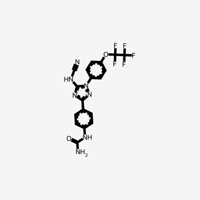 N#CNc1nc(-c2ccc(NC(N)=O)cc2)nn1-c1ccc(OC(F)(F)C(F)(F)F)cc1